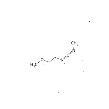 CN=C=NCCOC